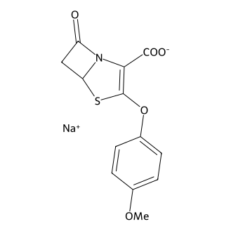 COc1ccc(OC2=C(C(=O)[O-])N3C(=O)CC3S2)cc1.[Na+]